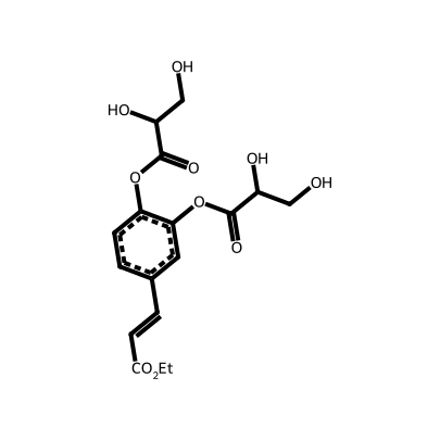 CCOC(=O)C=Cc1ccc(OC(=O)C(O)CO)c(OC(=O)C(O)CO)c1